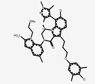 COCCn1c(C(=O)O)cc2cc(C)cc(N3C[C@@H](C)n4c(c(CCCOc5cc(C)c(Cl)c(C)c5)c5ccc(Cl)c(-c6c(C)nn(C)c6C)c54)C3=O)c21